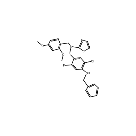 COc1ccc(CN(Sc2cc(Cl)c(NCc3ccccc3)cc2F)c2nccs2)c(OC)c1